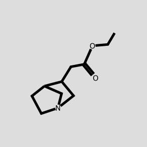 CCOC(=O)CC1CN2CCC1C2